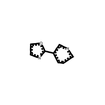 [c]1ccc(-c2ncco2)cn1